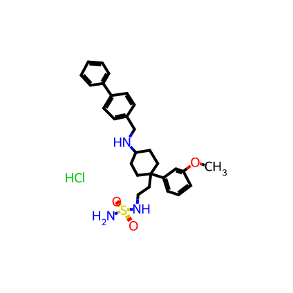 COc1cccc(C2(CCNS(N)(=O)=O)CCC(NCc3ccc(-c4ccccc4)cc3)CC2)c1.Cl